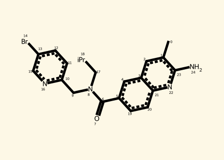 Cc1cc2cc(C(=O)N(Cc3ccc(Br)cn3)CC(C)C)ccc2nc1N